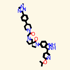 CC(C)Oc1ccc(C2NNc3ccc(N4CC[C@]5(CCN(CC(=O)N6CCC(c7ccc(-c8ncn(C)n8)cc7)CC6)C5)C4=O)cc32)cn1